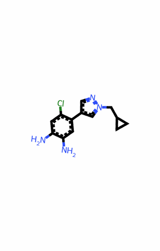 Nc1cc(Cl)c(-c2cnn(CC3CC3)c2)cc1N